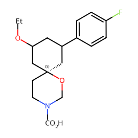 CCOC1CC(c2ccc(F)cc2)C[C@]2(CCN(C(=O)O)CO2)C1